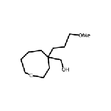 COCCCC1(CO)CCCCCCC1